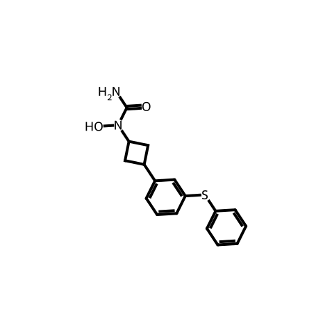 NC(=O)N(O)C1CC(c2cccc(Sc3ccccc3)c2)C1